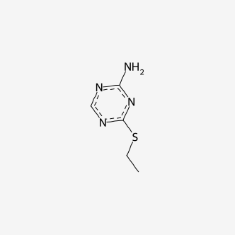 CCSc1ncnc(N)n1